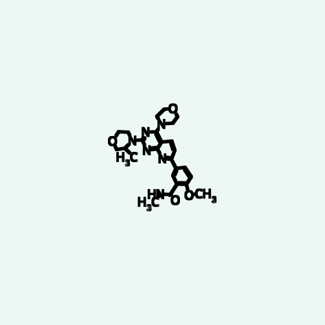 CNC(=O)c1cc(-c2ccc3c(N4CCOCC4)nc(N4CCOCC4C)nc3n2)ccc1OC